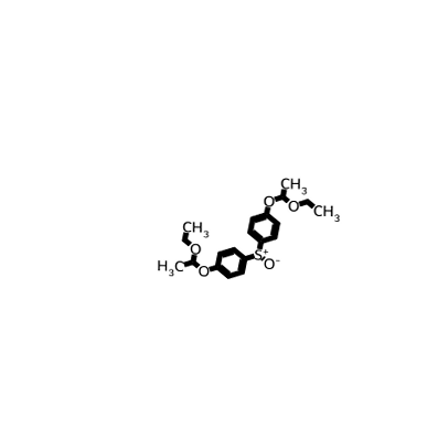 CCOC(C)Oc1ccc([S+]([O-])c2ccc(OC(C)OCC)cc2)cc1